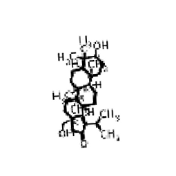 CC(C)C1=C2[C@H]3CC[C@@H]4[C@@]5(C)CC[C@H](O)C(C)(C)[C@@H]5CC[C@@]4(C)[C@]3(C)CC[C@@]2(CO)CC1=O